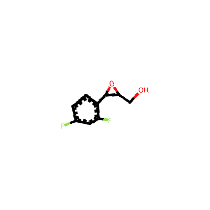 OCC1OC1c1ccc(F)cc1F